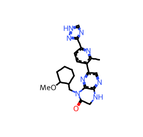 COC1CCCCC1CN1C(=O)CNc2ncc(-c3ccc(-c4nc[nH]n4)nc3C)nc21